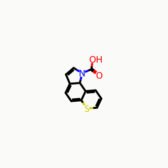 O=C(O)N1C=CC2=CC=C3SC=CC=C3C21